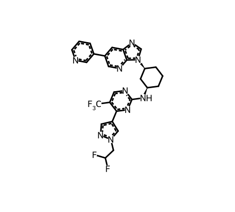 FC(F)Cn1cc(-c2nc(N[C@@H]3CCC[C@H](n4cnc5cc(-c6cccnc6)cnc54)C3)ncc2C(F)(F)F)cn1